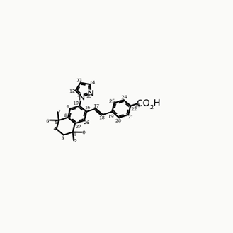 CC1(C)CCC(C)(C)c2cc(-n3cccn3)c(C=Cc3ccc(C(=O)O)cc3)cc21